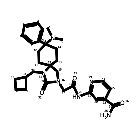 CN(C)C1(c2ccccc2)CCC2(CC1)CN(CC(=O)Nc1cc(C(N)=O)ccn1)C(=O)N2CC1CCC1